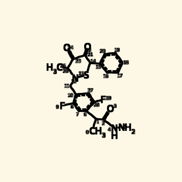 CC(C(=O)NN)c1cc(F)c(CN2SC(c3ccccc3)C(=O)C(=O)C2C)cc1F